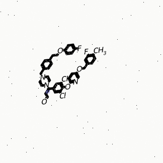 Cc1ccc(COc2ccc(Oc3c(C)cc(/C(=C\C=O)N4CCN(Cc5ccc(CCOc6ccc(F)cc6)cc5)CC4)cc3Cl)nc2)cc1F